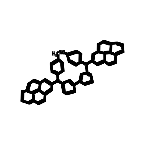 Cc1ccc(N(c2cccc(-c3cccc(N(c4ccc(C#N)cc4)c4cc5ccc6cccc7ccc(c4)c5c67)c3)c2)c2cc3ccc4cccc5ccc(c2)c3c45)cc1